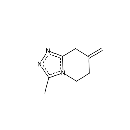 C=C1CCn2c(C)nnc2C1